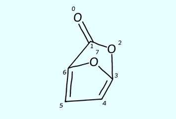 O=c1oc2ccc1o2